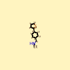 CCNCc1ccc(-c2cccs2)cc1